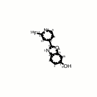 Oc1ccc2nc(-c3ccnc([18F])c3)oc2c1